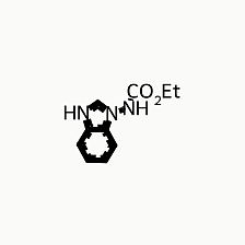 CCOC(=O)N[n+]1c[nH]c2ccccc21